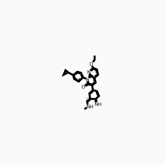 CCOc1ccc2cc(C3=C/C(=C/NC)C(=N)C=C3)c(=O)n(-c3ccc(C4CC4)cc3)c2n1